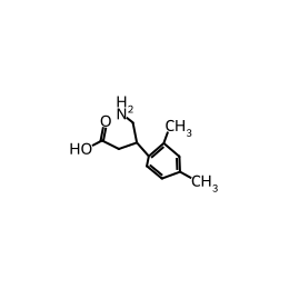 Cc1ccc(C(CN)CC(=O)O)c(C)c1